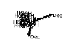 CCCCCCCCCCCCCCCCCCCCC(O)C(=O)N[C@@H](COP(=O)(O)O[C@H]1C(O)C(O)C(O)[C@@H](O)C1O[C@H]1O[C@H](CO)[C@@H](O)C(O)C1O)[C@H](O)[C@H](O)CCCCCCCCCCCCCCCC